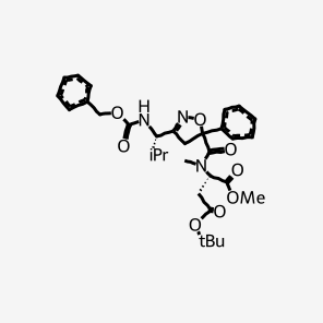 COC(=O)[C@H](CC(=O)OC(C)(C)C)N(C)C(=O)C1(c2ccccc2)CC([C@@H](NC(=O)OCc2ccccc2)C(C)C)=NO1